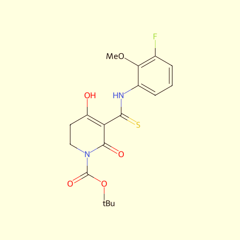 COc1c(F)cccc1NC(=S)C1=C(O)CCN(C(=O)OC(C)(C)C)C1=O